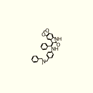 CN(Cc1ccccc1)Cc1ccc(N/C(=C2\C(=O)Nc3cc4c(cc32)OCO4)c2ccccc2)cc1